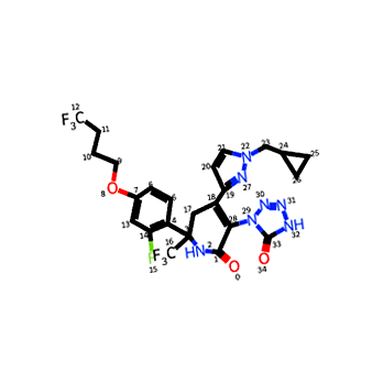 O=C1NC(c2ccc(OCCCC(F)(F)F)cc2F)(C(F)(F)F)CC(c2ccn(CC3CC3)n2)=C1n1nn[nH]c1=O